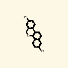 CC(C)c1ccc2c(c1)COc1c-2ccc2cc(C(C)C)ccc12